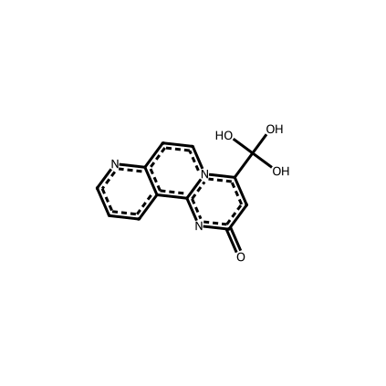 O=c1cc(C(O)(O)O)n2ccc3ncccc3c2n1